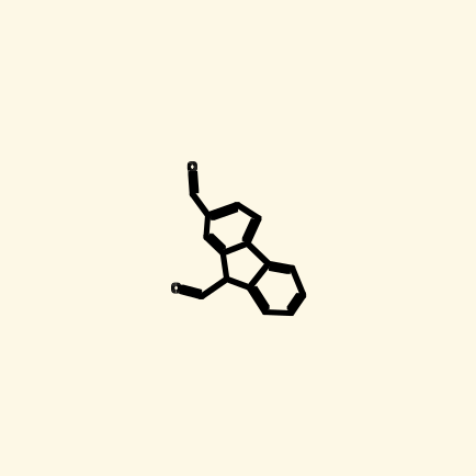 O=Cc1ccc2c(c1)C(C=O)c1ccccc1-2